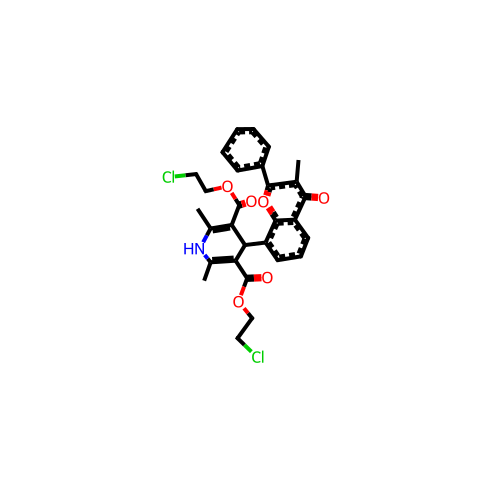 CC1=C(C(=O)OCCCl)C(c2cccc3c(=O)c(C)c(-c4ccccc4)oc23)C(C(=O)OCCCl)=C(C)N1